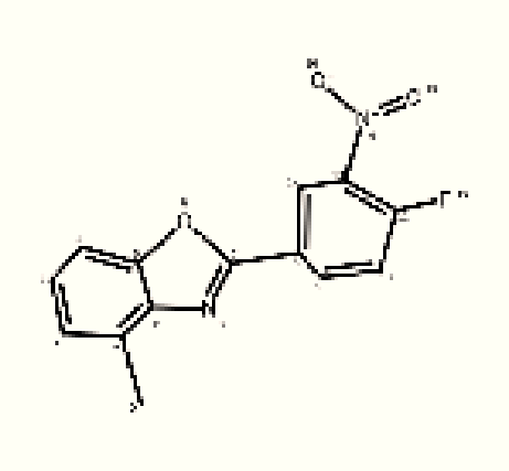 Cc1cccc2oc(-c3ccc(F)c([N+](=O)[O-])c3)nc12